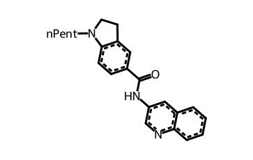 CCCCCN1CCc2cc(C(=O)Nc3cnc4ccccc4c3)ccc21